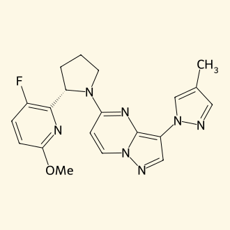 COc1ccc(F)c([C@@H]2CCCN2c2ccn3ncc(-n4cc(C)cn4)c3n2)n1